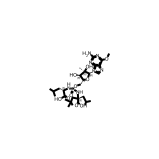 COc1nc(N)nc2c1ncn2[C@@H]1O[C@H](COP(=O)(N[C@@H](CC(C)C)C(=O)O)N[C@@](CC(C)C)(CC(C)(C)C)C(=O)O)[C@@H](O)[C@@]1(C)O